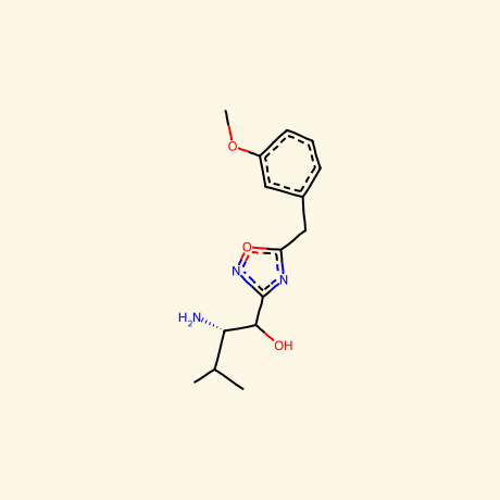 COc1cccc(Cc2nc(C(O)[C@@H](N)C(C)C)no2)c1